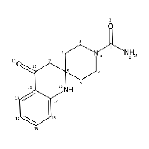 NC(=O)N1CCC2(CC1)CC(=O)c1ccccc1N2